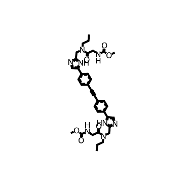 CCCN(Cc1ncc(-c2ccc(C#Cc3ccc(-c4cnc(CN(CCC)C(=O)CNC(=O)OC)[nH]4)cc3)cc2)[nH]1)C(=O)CNC(=O)OC